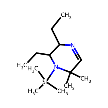 CCC1N=CC(C)(C)N([Si](C)(C)C)C1CC